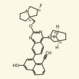 C#Cc1cccc2cc(O)cc(-c3ccc4c(N5C[C@H]6CC[C@@H](C5)N6)nc(OC[C@@]56CCCN5C[C@H](F)C6)nc4c3)c12